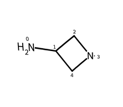 NC1C[N]C1